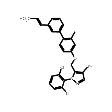 Cc1cc(OCc2c(C(C)C)cnn2-c2c(Cl)cccc2Cl)ccc1-c1cccc(C=CC(=O)O)c1